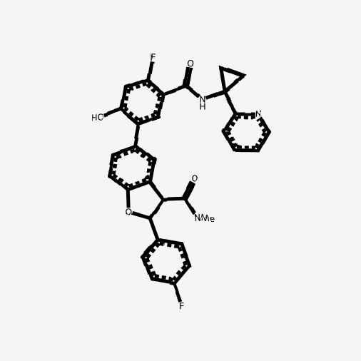 CNC(=O)C1c2cc(-c3cc(C(=O)NC4(c5ccccn5)CC4)c(F)cc3O)ccc2OC1c1ccc(F)cc1